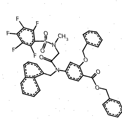 CN(CC(=O)N(Cc1cccc2ccccc12)c1ccc(C(=O)OCc2ccccc2)c(OCc2ccccc2)c1)S(=O)(=O)c1c(F)c(F)c(F)c(F)c1F